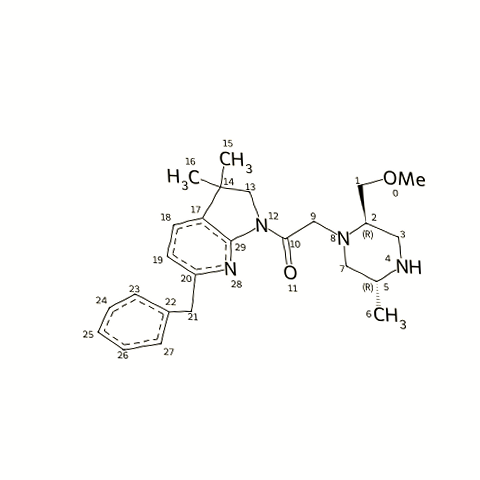 COC[C@H]1CN[C@H](C)CN1CC(=O)N1CC(C)(C)c2ccc(Cc3ccccc3)nc21